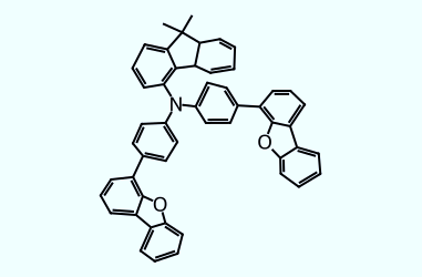 CC1(C)c2cccc(N(c3ccc(-c4cccc5c4oc4ccccc45)cc3)c3ccc(-c4cccc5c4oc4ccccc45)cc3)c2C2C=CC=CC21